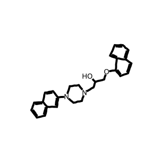 OC(COc1cccc2ccccc12)CN1CCN(c2ccc3ccccc3c2)CC1